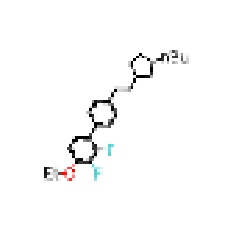 CCCCC1CCC(CCc2ccc(-c3ccc(OCC)c(F)c3F)cc2)C1